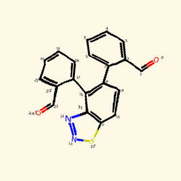 O=Cc1ccccc1-c1ccc2snnc2c1-c1ccccc1C=O